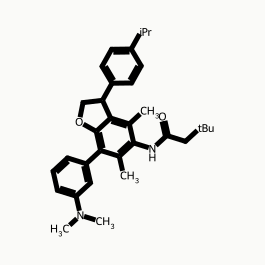 Cc1c(NC(=O)CC(C)(C)C)c(C)c2c(c1-c1cccc(N(C)C)c1)OCC2c1ccc(C(C)C)cc1